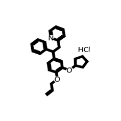 C=CCOc1ccc(C(Cc2ccccn2)c2ccccc2)cc1OC1CCCC1.Cl